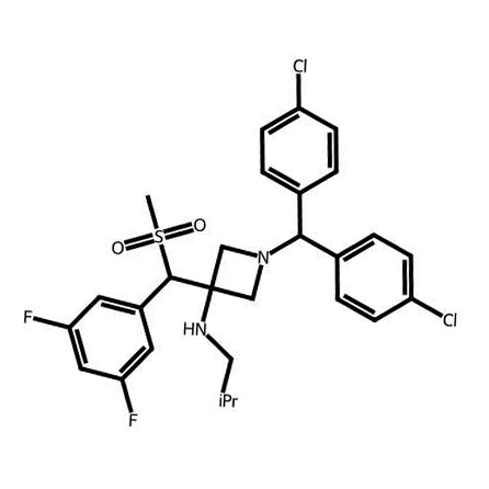 CC(C)CNC1(C(c2cc(F)cc(F)c2)S(C)(=O)=O)CN(C(c2ccc(Cl)cc2)c2ccc(Cl)cc2)C1